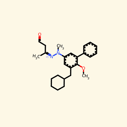 COc1c(CC2CCCCC2)cc(N(C)/N=C(/C)CC=O)cc1-c1ccccc1